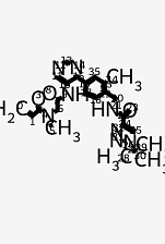 C=CC(=O)N(C)CC(=O)Nc1cncnc1-c1ccc(CNC(=O)c2cn(C(C)(C)C)nn2)c(C)c1